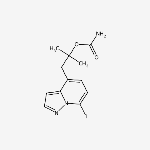 CC(C)(Cc1ccc(I)n2nccc12)OC(N)=O